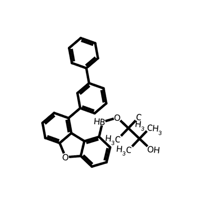 CC(C)(O)C(C)(C)OBc1cccc2oc3cccc(-c4cccc(-c5ccccc5)c4)c3c12